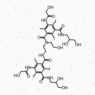 Cc1c(NC(=O)CO)c(I)c(C(=O)NCC(O)CO)c(I)c1C(=O)N(CCO)CCNC(=O)c1c(I)c(NC(=O)CO)c(I)c(C(=O)NCC(O)CO)c1I